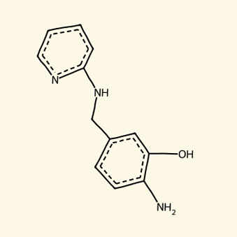 Nc1ccc(CNc2ccccn2)cc1O